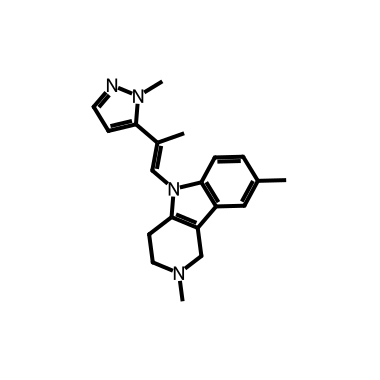 C/C(=C\n1c2c(c3cc(C)ccc31)CN(C)CC2)c1ccnn1C